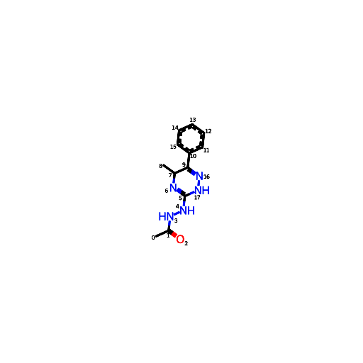 CC(=O)NNC1=NC(C)C(c2ccccc2)=NN1